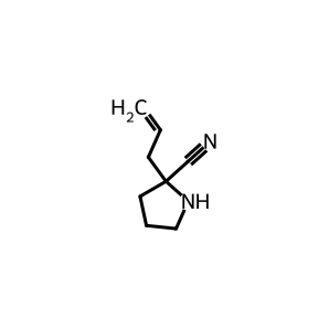 C=CCC1(C#N)CCCN1